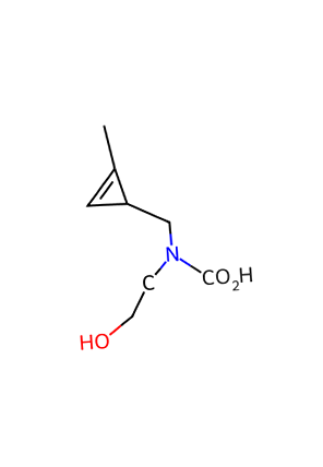 CC1=CC1CN(CCO)C(=O)O